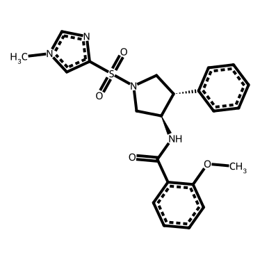 COc1ccccc1C(=O)N[C@H]1CN(S(=O)(=O)c2cn(C)cn2)C[C@@H]1c1ccccc1